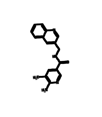 Cc1cc(C(=O)NCc2cnc3ccccc3c2)cnc1N